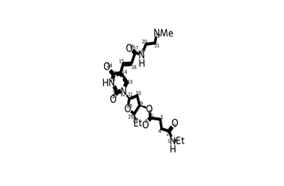 CCNC(=O)CCC(=O)O[C@@H]1C[C@H](n2cc(/C=C/C(=O)NCCNC)c(=O)[nH]c2=O)O[C@@H]1CC